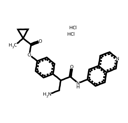 CC1(C(=O)Oc2ccc(C(CN)C(=O)Nc3ccc4cnccc4c3)cc2)CC1.Cl.Cl